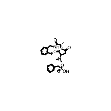 C[C@@H](C(=O)NCc1ccccc1F)N1C(=O)CC(N(C)C)C1=O.O=S(=O)(O)Cc1ccccc1